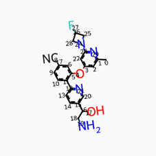 Cc1cc(Oc2cc(C#N)ccc2-c2ccc(C(O)CN)cn2)cc(N2CC(F)C2)n1